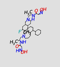 CC1C(F)CC2CN(C[C@H](C)NC(=O)/C=N\O)CCC2C12CCC(C1CCCCC1)C1CCCN(C[C@H](C)NC(=O)CNO)CC12